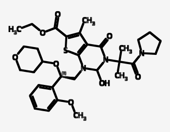 CCOC(=O)c1sc2c(c1C)C(=O)N(C(C)(C)C(=O)N1CCCC1)C(O)N2C[C@H](OC1CCOCC1)c1ccccc1OC